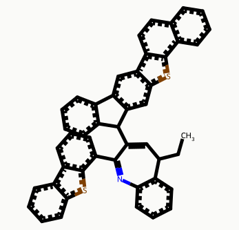 CCC1C=C(C2c3ccccc3-c3cc4c(cc32)sc2c3ccccc3ccc42)C(c2cccc3c2sc2ccccc23)=Nc2ccccc21